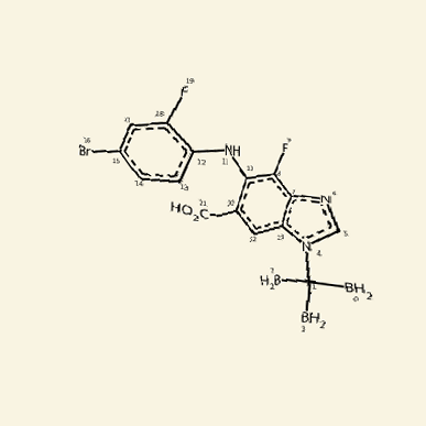 BC(B)(B)n1cnc2c(F)c(Nc3ccc(Br)cc3F)c(C(=O)O)cc21